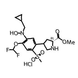 COC(=O)[C@H]1CC(c2cc(N(O)CC3CC3)c(OC(F)F)cc2S(C)(=O)=O)CN1.Cl